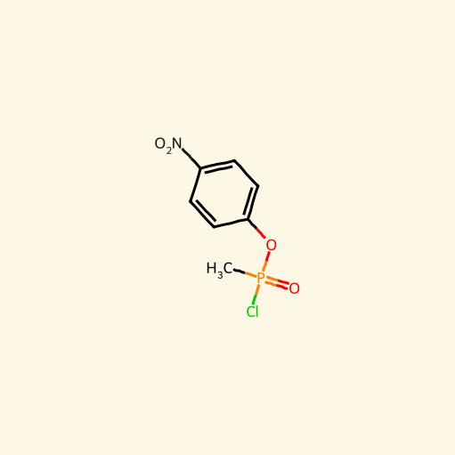 CP(=O)(Cl)Oc1ccc([N+](=O)[O-])cc1